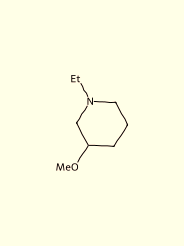 CCN1CCCC(OC)C1